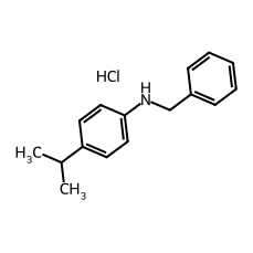 CC(C)c1ccc(NCc2ccccc2)cc1.Cl